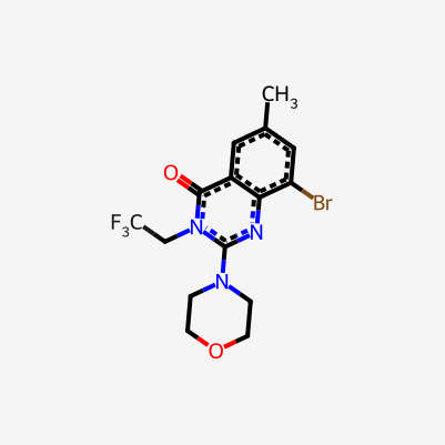 Cc1cc(Br)c2nc(N3CCOCC3)n(CC(F)(F)F)c(=O)c2c1